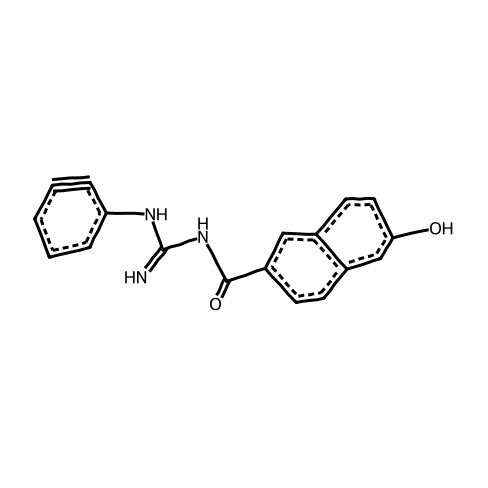 N=C(NC(=O)c1ccc2cc(O)ccc2c1)Nc1c#cccc1